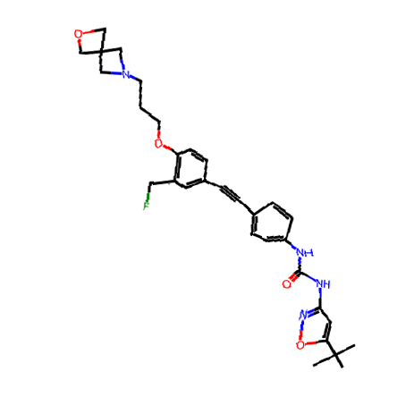 CC(C)(C)c1cc(NC(=O)Nc2ccc(C#Cc3ccc(OCCCN4CC5(COC5)C4)c(CF)c3)cc2)no1